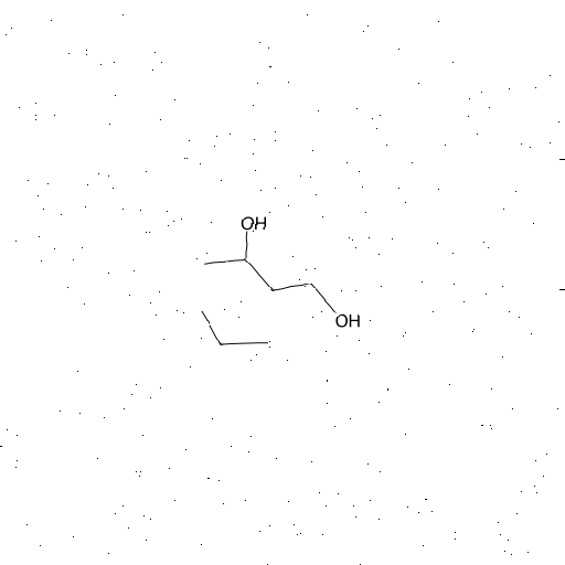 CC(O)CCO.CCC